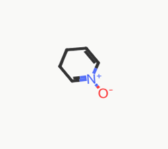 [O-][N+]1=CCCC=C1